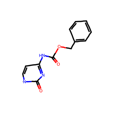 O=C1[N]C=CC(NC(=O)OCc2ccccc2)=N1